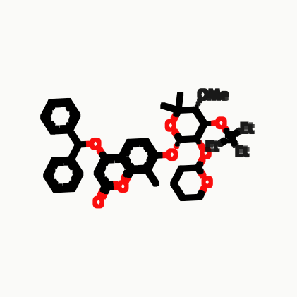 CC[Si](CC)(CC)O[C@H]1[C@@H](OC2CCCCO2)[C@H](Oc2ccc3c(OC(c4ccccc4)c4ccccc4)cc(=O)oc3c2C)OC(C)(C)[C@@H]1OC